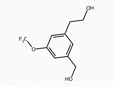 OCCc1cc(CO)cc(OC(F)(F)F)c1